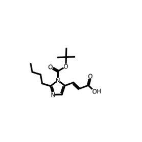 CCCCc1ncc(C=CC(=O)O)n1C(=O)OC(C)(C)C